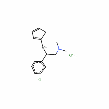 CN(C)C[CH]([V+3][C]1=CC=CC1)c1ccccc1.[Cl-].[Cl-].[Cl-]